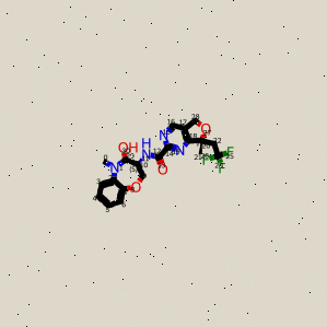 CN1c2ccccc2OC[C@H](NC(=O)c2ncc3c(n2)[C@@](C)(CC(F)(F)F)OC3)C1O